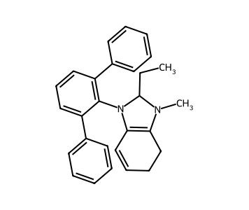 CCC1N(C)C2=C(C=CCC2)N1c1c(-c2ccccc2)cccc1-c1ccccc1